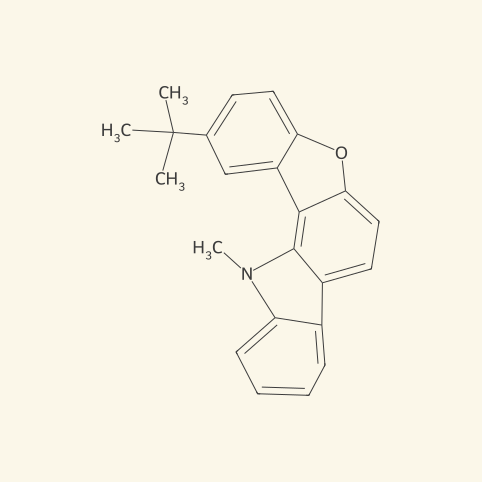 Cn1c2ccccc2c2ccc3oc4ccc(C(C)(C)C)cc4c3c21